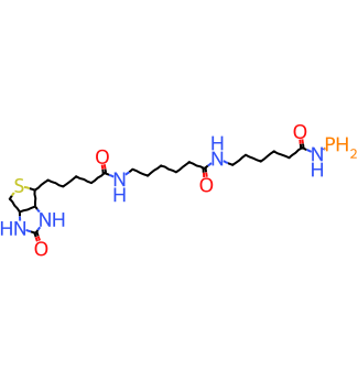 O=C(CCCCCNC(=O)CCCCCNC(=O)CCCCC1SCC2NC(=O)NC21)NP